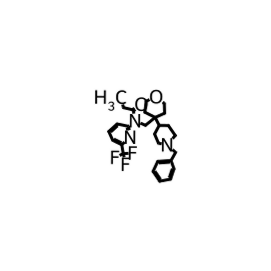 CCC(=O)N(CC1(C2CCN(Cc3ccccc3)CC2)CCOCC1)c1cccc(C(F)(F)F)n1